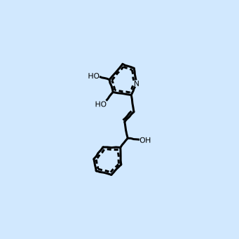 Oc1ccnc(C=CC(O)c2ccccc2)c1O